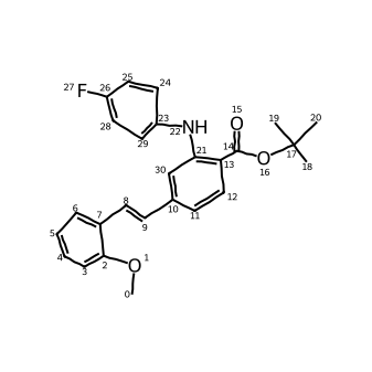 COc1ccccc1C=Cc1ccc(C(=O)OC(C)(C)C)c(Nc2ccc(F)cc2)c1